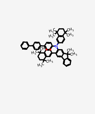 CC1(C)CCC(C)(C)c2cc(-c3cc4c(cc3N(c3ccc(-c5ccc(-c6ccccc6)cc5)cc3)c3ccc5c(c3)C(C)(C)CCC5(C)C)C(C)(C)c3ccccc3-4)ccc21